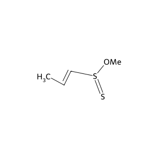 CC=CS(=S)OC